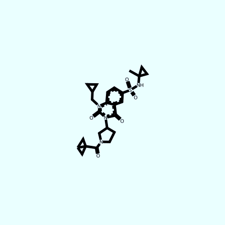 CC1(NS(=O)(=O)c2ccc3c(c2)c(=O)n(C2CCN(C(=O)C45CC4C5)C2)c(=O)n3CC2CC2)CC1